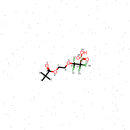 CC(C)(C)C(=O)OCCOC(F)(F)C(F)(F)S(=O)(=O)O